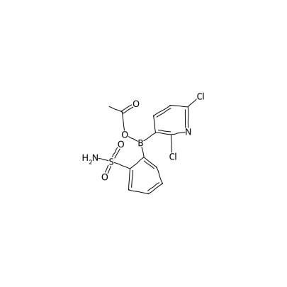 CC(=O)OB(c1ccccc1S(N)(=O)=O)c1ccc(Cl)nc1Cl